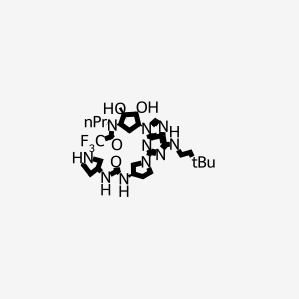 CCCN(C(=O)C(F)(F)F)[C@H]1C[C@@H](n2cnc3c(NCCC(C)(C)C)nc(N4CC[C@@H](NC(=O)NC5CCNC5)C4)nc32)[C@H](O)[C@@H]1O